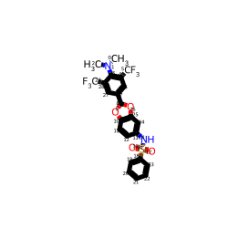 CN(C)c1c(C(F)(F)F)cc(C2Oc3ccc(NS(=O)(=O)c4ccccc4)cc3O2)cc1C(F)(F)F